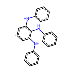 [c]1cc(Nc2ccccc2)c(Nc2ccccc2)c(Nc2ccccc2)c1